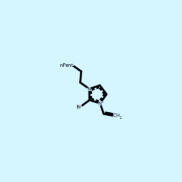 C=C[n+]1ccn(CCCCCCC)c1Br